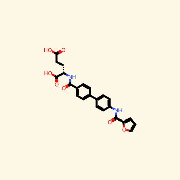 O=C(O)CC[C@H](NC(=O)c1ccc(-c2ccc(NC(=O)c3ccco3)cc2)cc1)C(=O)O